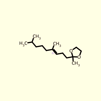 C/C(=C\CCC1(C)OCCO1)CCCC(C)C